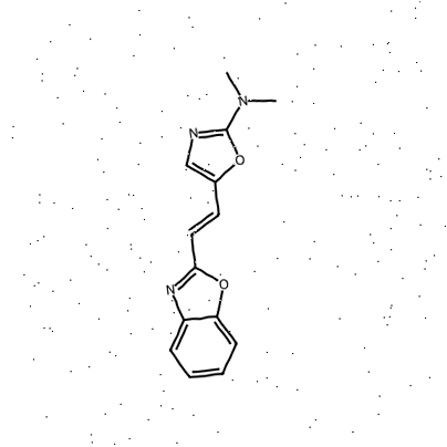 CN(C)c1ncc(C=Cc2nc3ccccc3o2)o1